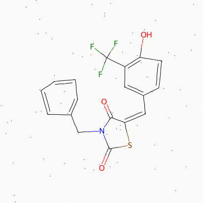 O=C1SC(=Cc2ccc(O)c(C(F)(F)F)c2)C(=O)N1Cc1ccccc1